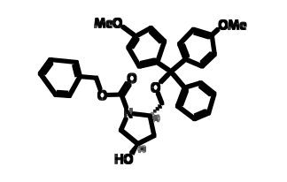 COc1ccc(C(OC[C@@H]2C[C@@H](O)CN2C(=O)OCc2ccccc2)(c2ccccc2)c2ccc(OC)cc2)cc1